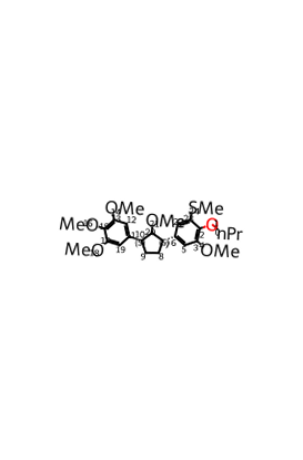 CCCOc1c(OC)cc([C@@H]2CC[C@@H](c3cc(OC)c(OC)c(OC)c3)C2OC)cc1SC